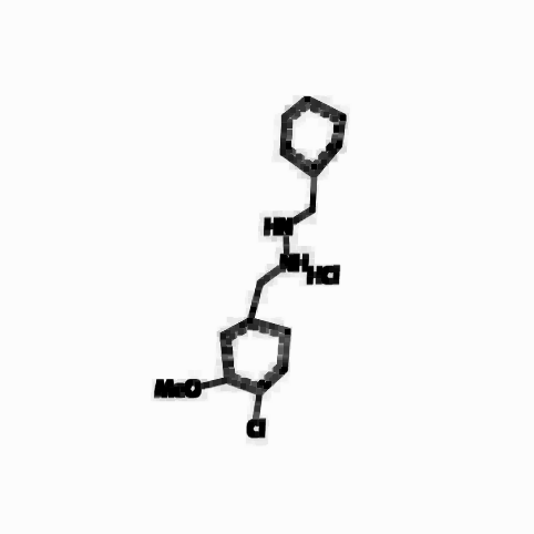 COc1cc(CNNCc2ccccc2)ccc1Cl.Cl